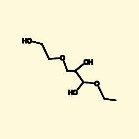 CCOC(O)[C](O)COCCO